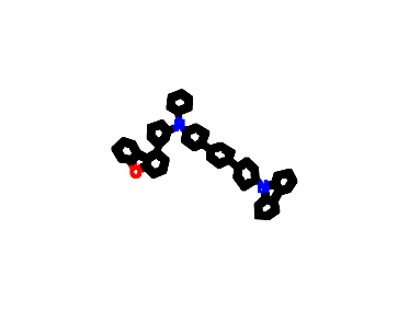 c1ccc(N(c2ccc(-c3ccc(-c4ccc(-n5c6ccccc6c6ccccc65)cc4)cc3)cc2)c2cccc(-c3cccc4oc5ccccc5c34)c2)cc1